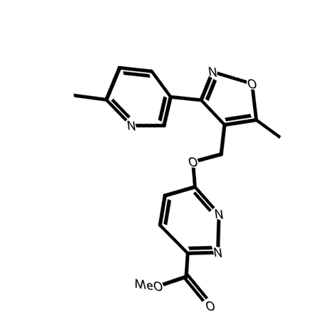 COC(=O)c1ccc(OCc2c(-c3ccc(C)nc3)noc2C)nn1